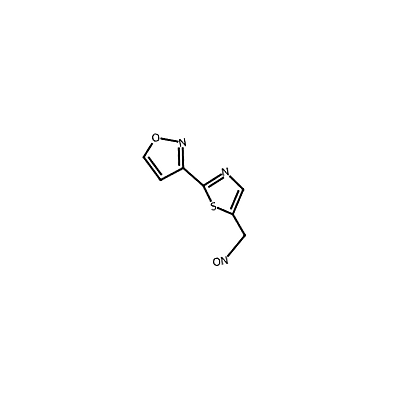 O=NCc1cnc(-c2ccon2)s1